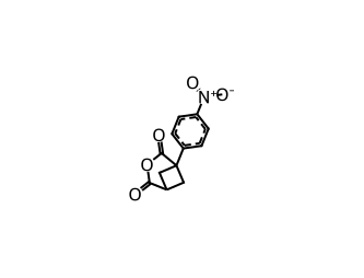 O=C1OC(=O)C2(c3ccc([N+](=O)[O-])cc3)CC1C2